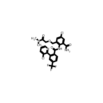 CN(C)C(=O)COCc1cc(Cl)cc(C(N)=O)c1NC(=O)c1ccc(C(F)(F)F)cc1-c1ncccc1Cl